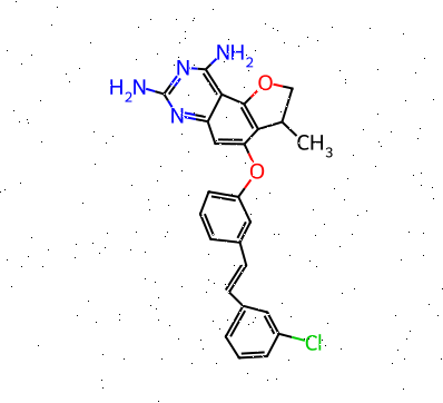 CC1COc2c1c(Oc1cccc(/C=C/c3cccc(Cl)c3)c1)cc1nc(N)nc(N)c21